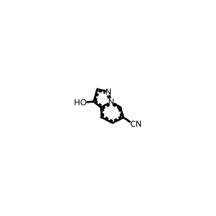 N#Cc1ccc2c(O)cnn2c1